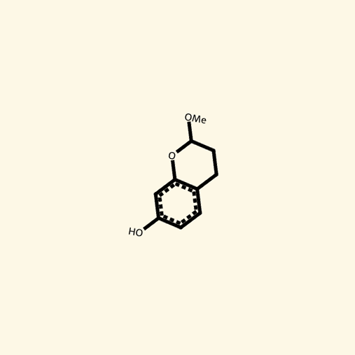 COC1CCc2ccc(O)cc2O1